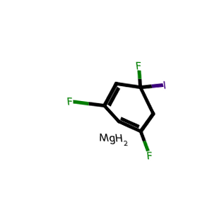 FC1=CC(F)(I)CC(F)=C1.[MgH2]